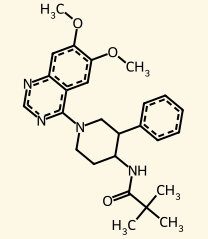 COc1cc2ncnc(N3CCC(NC(=O)C(C)(C)C)C(c4ccccc4)C3)c2cc1OC